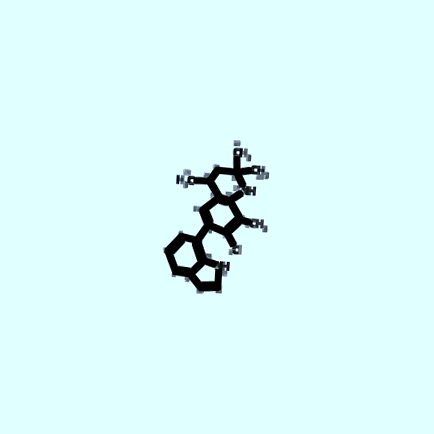 Cc1c(Cl)c(-c2cccc3cc[nH]c23)cc2c1NC(C)(C)CC2C